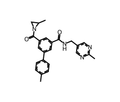 Cc1ccc(-c2cc(C(=O)NCc3cnc(C)nc3)cc(C(=O)N3CC3C)c2)cc1